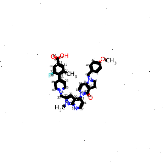 COc1ccc(CN2CCc3c2ccn(-c2ccnc4c2cc(CN2CC=C(c5c(C)cc(C(=O)O)cc5F)CC2)n4C)c3=O)cc1